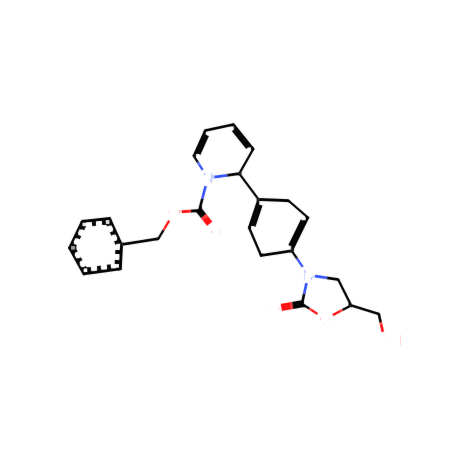 O=C1OC(CO)CN1C1=CCC(C2C=CC=CN2C(=O)OCc2ccccc2)=CC1